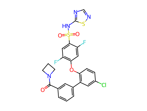 O=C(c1cccc(-c2cc(Cl)ccc2Oc2cc(F)c(S(=O)(=O)Nc3ncns3)cc2F)c1)N1CCC1